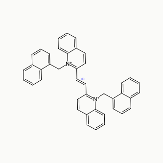 C(=C\c1ccc2ccccc2[n+]1Cc1cccc2ccccc12)/c1ccc2ccccc2[n+]1Cc1cccc2ccccc12